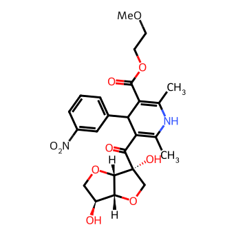 COCCOC(=O)C1=C(C)NC(C)=C(C(=O)[C@@]2(O)CO[C@@H]3[C@@H](O)CO[C@@H]32)C1c1cccc([N+](=O)[O-])c1